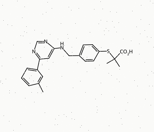 Cc1cccc(-c2cc(NCc3ccc(SC(C)(C)C(=O)O)cc3)ncn2)c1